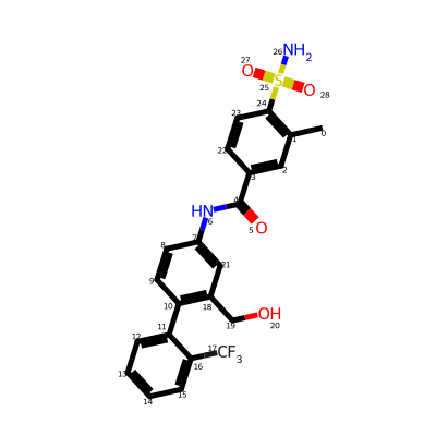 Cc1cc(C(=O)Nc2ccc(-c3ccccc3C(F)(F)F)c(CO)c2)ccc1S(N)(=O)=O